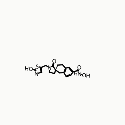 O=C(NO)c1ccc2c(c1)CC[C@]1(CCN(Cc3cnc(O)s3)C1=O)C2